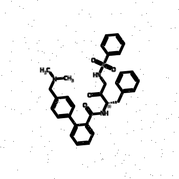 CN(C)Cc1ccc(-c2ccccc2C(=O)N[C@@H](Cc2ccccc2)C(=O)CNS(=O)(=O)c2ccccc2)cc1